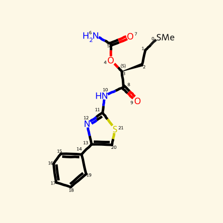 CSCC[C@H](OC(N)=O)C(=O)Nc1nc(-c2ccccc2)cs1